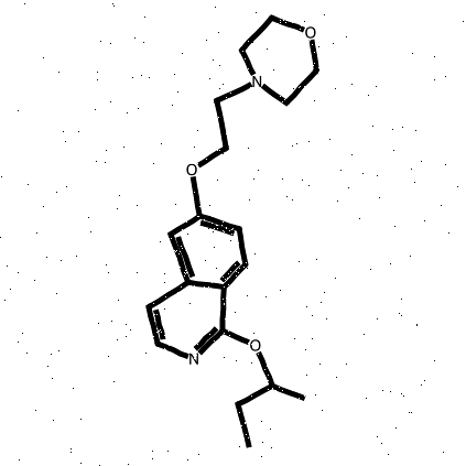 CCC(C)Oc1nccc2cc(OCCN3CCOCC3)ccc12